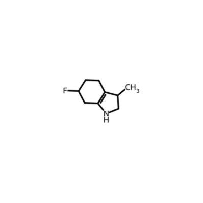 CC1CNC2=C1CCC(F)C2